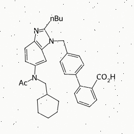 CCCCc1nc2ccc(N(CC3CCCCC3)C(C)=O)cc2n1Cc1ccc(-c2ccccc2C(=O)O)cc1